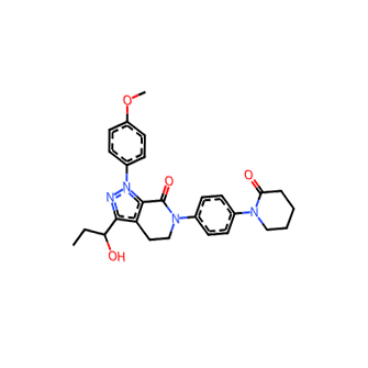 CCC(O)c1nn(-c2ccc(OC)cc2)c2c1CCN(c1ccc(N3CCCCC3=O)cc1)C2=O